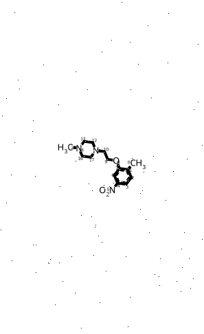 Cc1ccc([N+](=O)[O-])cc1OCCN1CCN(C)CC1